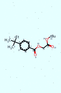 CCC(C)(C)c1ccc(C(=O)OCC(=O)OC(C)(C)C)cc1